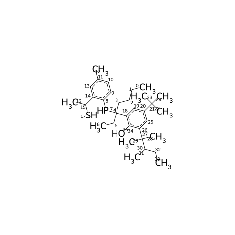 CCCCC(CC)(Pc1ccc(C)cc1C(C)S)c1cc(C(C)(C)C)cc(C(C)(C)C(C)CC)c1O